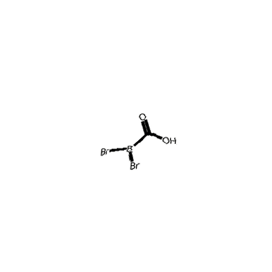 O=C(O)B(Br)Br